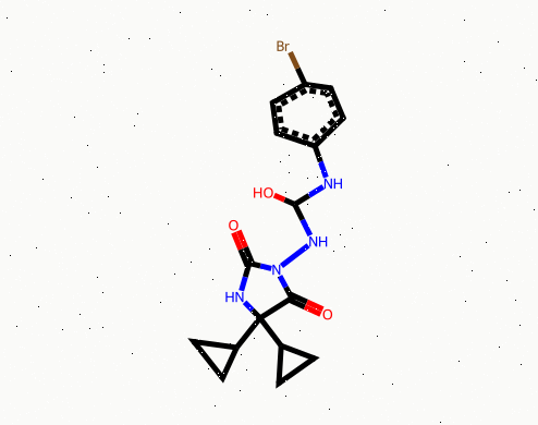 O=C1NC(C2CC2)(C2CC2)C(=O)N1NC(O)Nc1ccc(Br)cc1